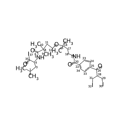 CC(C)CC(NC(=O)C(C)(C)CCOC(C)(C)CCNC(=O)c1ccc(C(=O)C(CI)CI)cc1)C(=O)I